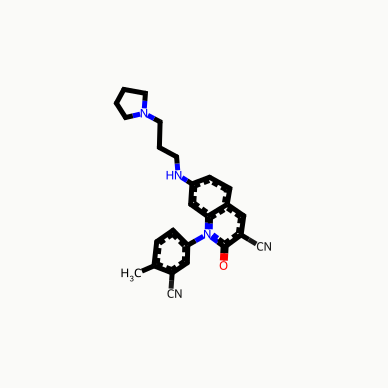 Cc1ccc(-n2c(=O)c(C#N)cc3ccc(NCCCN4CCCC4)cc32)cc1C#N